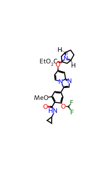 CCOC(=O)CN1[C@@H]2CC[C@H]1CC(Oc1ccn3c(-c4cc(OC)c(C(=O)NC5CC5)c(OC(F)F)c4)cnc3c1)C2